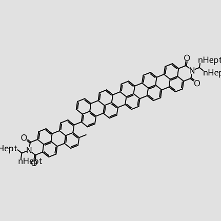 CCCCCCCC(CCCCCCC)N1C(=O)c2ccc3c4ccc(C)c5c(-c6ccc7c8ccc9c%10ccc%11c%12ccc%13c%14ccc%15c%16c(ccc(c%17ccc(c%18ccc(c%19ccc(c%20cccc6c%207)c8c%199)c%10c%18%11)c%12c%17%13)c%16%14)C(=O)N(C(CCCCCCC)CCCCCCC)C%15=O)ccc(c6ccc(c2c36)C1=O)c54